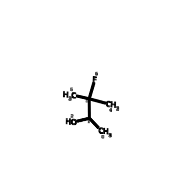 CC(O)C(C)(C)F